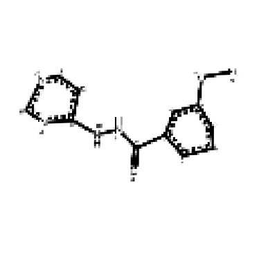 CCOc1cccc(C(=O)NNc2ccncn2)c1